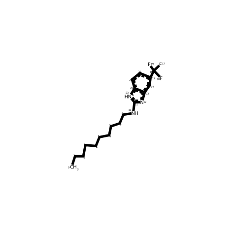 CCCCCCCCCCNc1nc2cc(C(F)(F)F)ccc2[nH]1